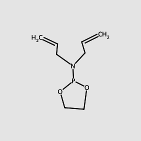 C=CCN(CC=C)P1OCCO1